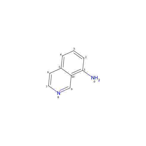 Nc1cccc2ccncc12